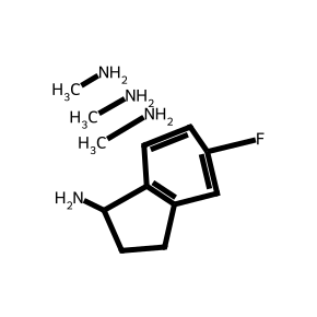 CN.CN.CN.NC1CCc2cc(F)ccc21